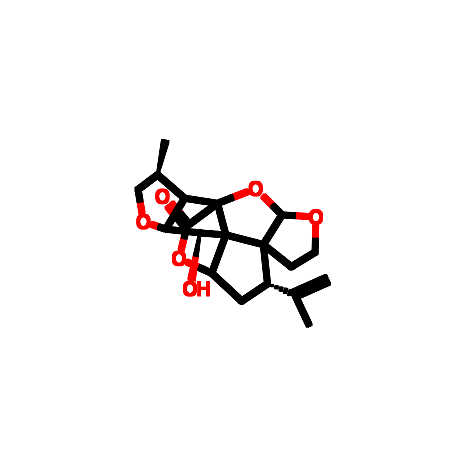 C=C(C)[C@@H]1CC2OC(=O)C34OC5OCCC51C23[C@@H](O)C1OC[C@@H](C)C14